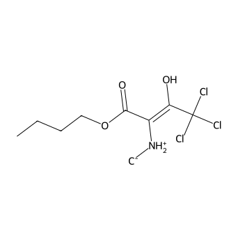 [CH2-][NH2+]/C(C(=O)OCCCC)=C(/O)C(Cl)(Cl)Cl